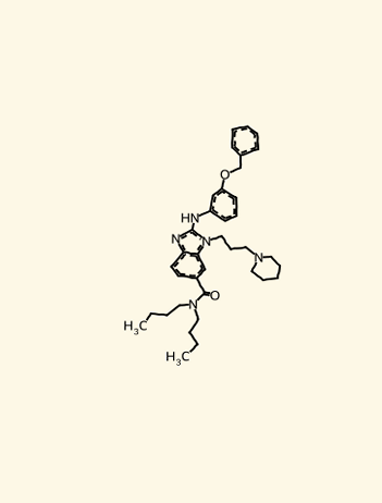 CCCCN(CCCC)C(=O)c1ccc2nc(Nc3cccc(OCc4ccccc4)c3)n(CCCN3CCCCC3)c2c1